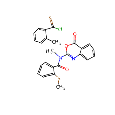 CSc1ccccc1C(=O)N(C)c1nc2ccccc2c(=O)o1.Cc1ccccc1C(=S)Cl